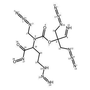 [N-]=[N+]=NCN(C(=O)OC(C=N)(CN=[N+]=[N-])CN=[N+]=[N-])C(CCNN=N)C(=O)N=O